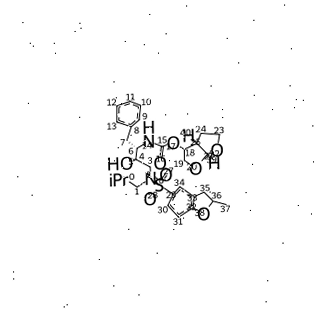 CC(C)CN(C[C@@H](O)[C@H](Cc1ccccc1)NC(=O)OC1CO[C@H]2OCC[C@@H]12)S(=O)(=O)c1ccc2c(c1)CC(C)O2